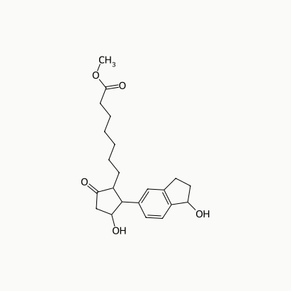 COC(=O)CCCCCCC1C(=O)CC(O)C1c1ccc2c(c1)CCC2O